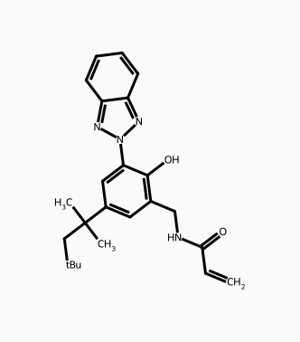 C=CC(=O)NCc1cc(C(C)(C)CC(C)(C)C)cc(-n2nc3ccccc3n2)c1O